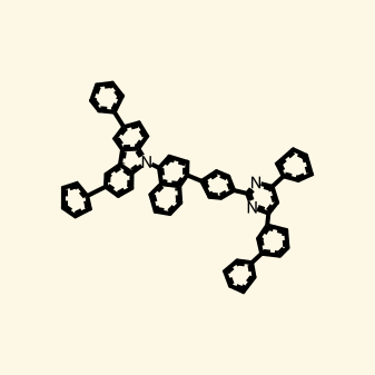 c1ccc(-c2cccc(-c3cc(-c4ccccc4)nc(-c4ccc(-c5ccc(-n6c7ccc(-c8ccccc8)cc7c7cc(-c8ccccc8)ccc76)c6ccccc56)cc4)n3)c2)cc1